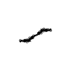 O=C(Oc1ccc(CCCCCOc2ccc(CC(=O)c3ncc(C(=O)Oc4ccc(CCC5CO5)cc4)[nH]3)cc2)cc1)c1cnc(C(=O)Cc2ccc(OCC3CO3)cc2)[nH]1